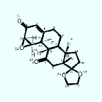 CC12CC(=O)[C@H]3C(CCC4=CC(=O)[C@@H]5O[C@@H]5[C@@]43C)[C@@H]1CCC21OCCO1